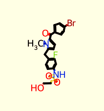 Cn1c(Cc2ccc(NS(=O)(=O)CCO)cc2F)ccc1C(=O)c1ccc(Br)cc1